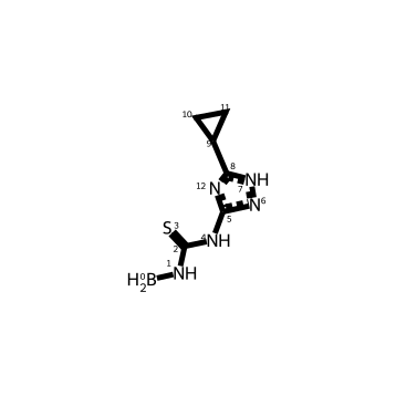 BNC(=S)Nc1n[nH]c(C2CC2)n1